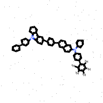 [2H]c1c([2H])c([2H])c(-c2ccc(N(c3ccccc3)c3ccc4cc(-c5ccc(-c6ccc7c(c6)c6ccccc6n7-c6ccc(-c7ccccc7)cc6)cc5)ccc4c3)cc2)c([2H])c1[2H]